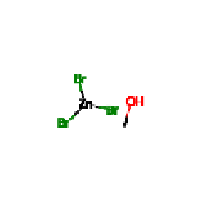 CO.[Br][Zn]([Br])[Br]